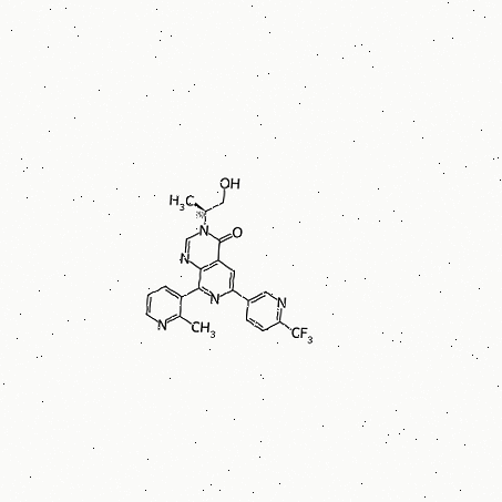 Cc1ncccc1-c1nc(-c2ccc(C(F)(F)F)nc2)cc2c(=O)n([C@@H](C)CO)cnc12